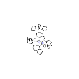 C/C=c1/c(=C(/C)C2=CC(c3ccncc3)=C=Cc3ccccc32)c(-c2ccncc2)nc2cc(P(=O)(c3ccccc3)c3ccccc3)ccc12